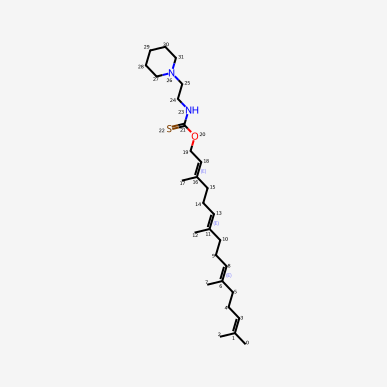 CC(C)=CCC/C(C)=C/CC/C(C)=C/CC/C(C)=C/COC(=S)NCCN1CCCCC1